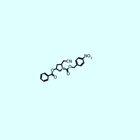 N#CCC1CC(OC(=O)c2ccccc2)CN1C(=O)OCc1ccc([N+](=O)[O-])cc1